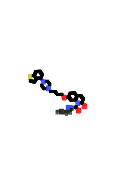 CCCCCCCNC(=O)n1c(=O)ccc2ccc(OCCCCN3CCN(c4cccc5sccc45)CC3)cc21